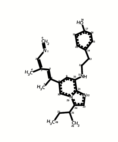 C=N/C=C(C)\C=C(/C)c1cc(NCCc2ccc(O)cc2)c2ncc(C(C)CC)n2c1